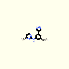 CC(=O)Nc1cc(Nc2nccc(C(F)(F)F)n2)cc(C2=C[N]N=C2)c1